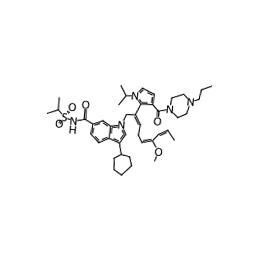 C/C=C\C(=C/C/C=C(\Cn1cc(C2CCCCC2)c2ccc(C(=O)NS(=O)(=O)C(C)C)cc21)c1c(C(=O)N2CCN(CCC)CC2)ccn1C(C)C)OC